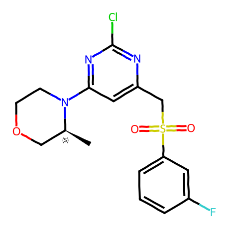 C[C@H]1COCCN1c1cc(CS(=O)(=O)c2cccc(F)c2)nc(Cl)n1